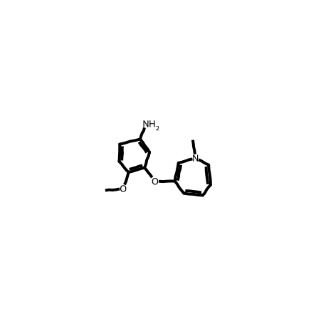 COc1ccc(N)cc1OC1=CN(C)C=CC=C1